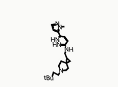 Cn1nccc1C(=N)/C=C\C(=N)NCC1CC12CCN(CCC(C)(C)C)CC2